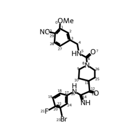 COc1cc(CNC(=O)N2CCC(C(=O)C(=N)Nc3ccc(F)c(Br)c3)CC2)ccc1C#N